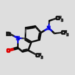 CCn1c(=O)cc(C(F)(F)F)c2cc(N(CC(F)(F)F)CC(F)(F)F)ccc21